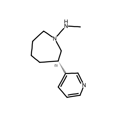 CNN1CCCC[C@@H](c2cccnc2)C1